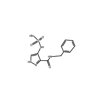 CCCCS(=O)(=O)Nc1c[nH]nc1C(=O)NCc1ccccc1